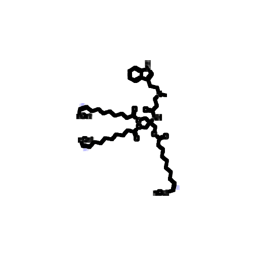 CCCCCCCC/C=C\CCCCCCCC(=O)OCC(COC(=O)CCCCCCC/C=C\CCCCCCCC)(COC(=O)CCCCCCC/C=C\CCCCCCCC)NC(=O)CCN(C)CCc1c[nH]c2ccccc12